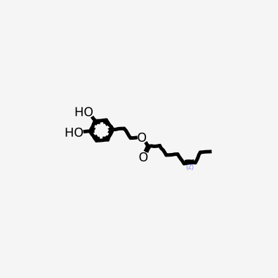 CC/C=C\CCCC(=O)OCCc1ccc(O)c(O)c1